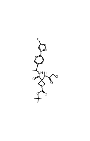 CC(NC(=O)C1(NC(=O)CCl)CN(C(=O)OC(C)(C)C)C1)c1ccc(-n2cc(F)cn2)nc1